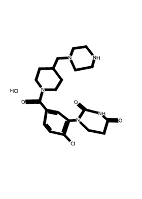 Cl.O=C1CCN(c2cc(C(=O)N3CCC(CN4CCNCC4)CC3)ccc2Cl)C(=O)N1